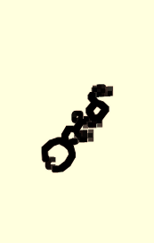 CC(C)(C)CC1CCCC(NC(=O)C2CCC3(CCCCCCCCCC3)CN2)C1